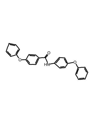 O=C(Nc1ccc(Oc2ccccc2)cc1)c1ccc(Oc2ccccc2)cc1